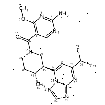 COc1nc(N)ncc1C(=O)N1CC[C@@H](C)[C@H](c2cc(C(F)F)nc3ncnn23)C1